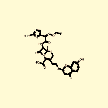 Nc1nc(/C(=N/OCF)C(=O)NC2C(=O)N3C(C(=O)O)=C(/C=C/Sc4cc(=O)c5ccc(O)cc5s4)CS[C@H]23)cs1